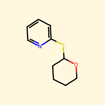 c1ccc(SC2CCCCO2)nc1